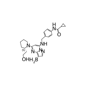 Bc1cnn2c(NCc3ccc(NC(=O)C4CC4)cc3)cc(N3CCCC[C@H]3CCO)nc12